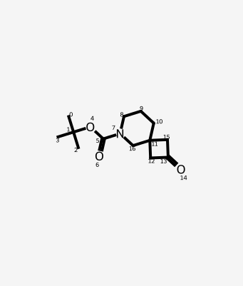 CC(C)(C)OC(=O)N1CCCC2(CC(=O)C2)C1